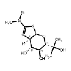 CCN(C)C1=N[C@H]2C(O[C@H](C(C)(C)O)[C@@H](O)[C@@H]2O)S1